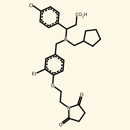 CCc1cc(CN(CC2CCCC2)C(CC(=O)O)c2ccc(Cl)cc2)ccc1OCCN1C(=O)CCC1=O